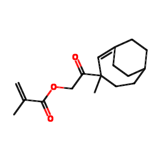 C=C(C)C(=O)OCC(=O)C1(C)C=C2CCC(CC2)CC1